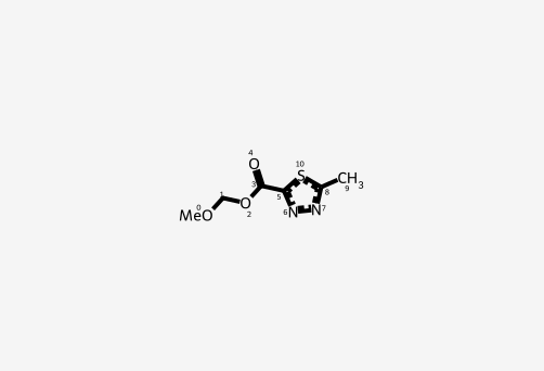 COCOC(=O)c1nnc(C)s1